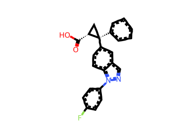 O=C(O)[C@@H]1C[C@@]1(c1ccccc1)c1ccc2c(cnn2-c2ccc(F)cc2)c1